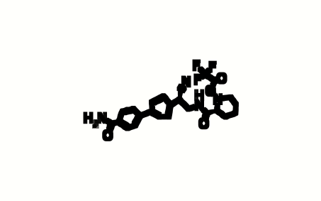 N#C[C@@H](CNC(=O)[C@@H]1CCCCN1OC(=O)C(F)(F)F)c1ccc(-c2ccc(C(N)=O)cc2)cc1